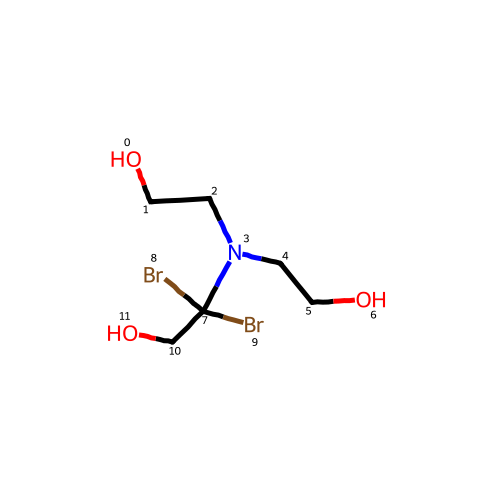 OCCN(CCO)C(Br)(Br)CO